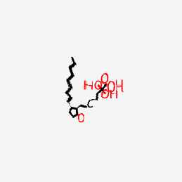 CCCCCCCC=C[C@H]1CCC(=O)[C@@H]1CC=C=CCC(O)(O)C(=O)O